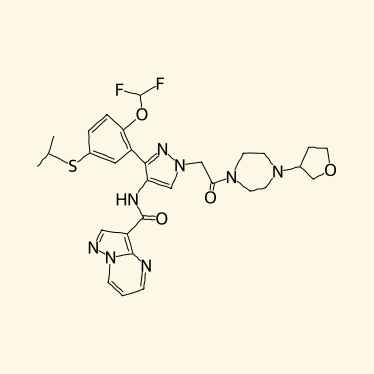 CC(C)Sc1ccc(OC(F)F)c(-c2nn(CC(=O)N3CCN(C4CCOC4)CC3)cc2NC(=O)c2cnn3cccnc23)c1